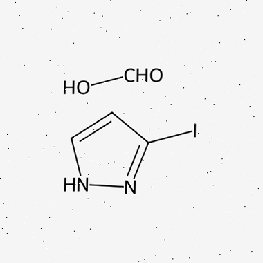 Ic1cc[nH]n1.O=CO